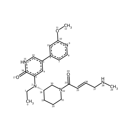 CCN(c1cc(-c2ccnc(OC)c2)c[nH]c1=O)[C@H]1CCCN(C(=O)/C=C/CNC)C1